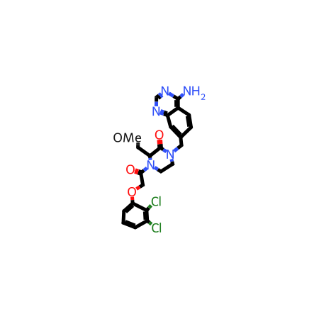 COCC1C(=O)N(Cc2ccc3c(N)ncnc3c2)CCN1C(=O)COc1cccc(Cl)c1Cl